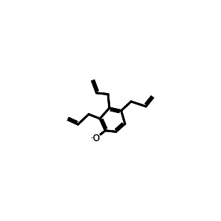 C=CCc1ccc([O])c(CC=C)c1CC=C